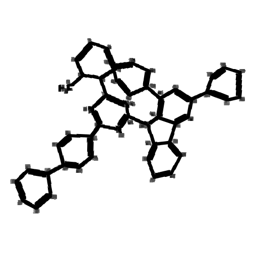 CC1C=CC=CC1c1nc(-c2ccc(-c3ccccc3)cc2)nc(-n2c3ccccc3c3cc(-c4ccccc4)cc(-c4ccccc4)c32)n1